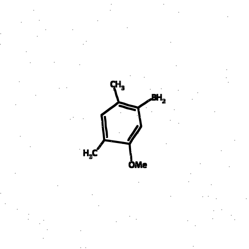 Bc1cc(OC)c(C)cc1C